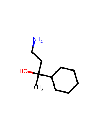 CC(O)(CCN)C1CCCCC1